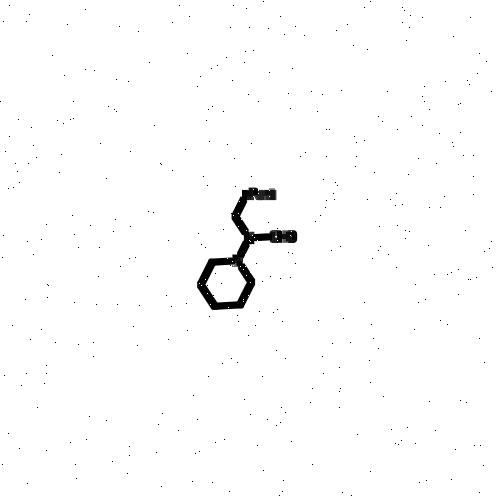 CCCCCCN(C=O)N1CCCCC1